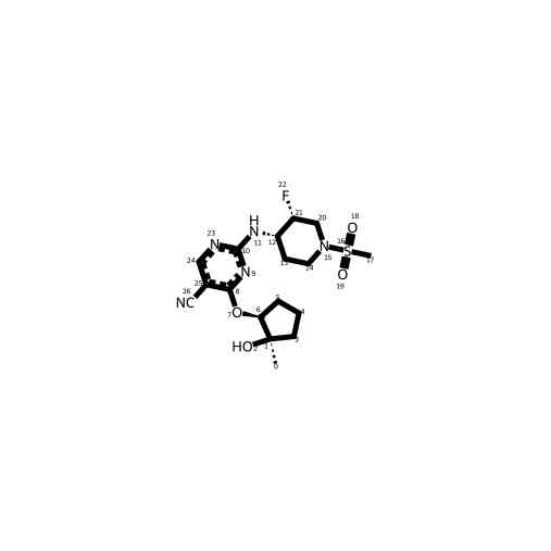 C[C@@]1(O)CCC[C@@H]1Oc1nc(N[C@H]2CCN(S(C)(=O)=O)C[C@H]2F)ncc1C#N